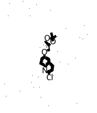 CC1(C)OC[C@H](COc2ccc3nc(Cl)ccc3c2)O1